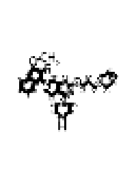 COc1cc2ccccc2c(N2CCc3c(nc(OCCCN4CCOCC4)nc3N3CCNCC3)C2)c1F